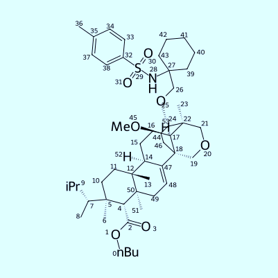 CCCCOC(=O)[C@@H]1[C@@](C)([C@H](C)C(C)C)CC[C@]2(C)[C@H]3CC[C@@H]4[C@@]5(COC[C@]4(C)[C@@H](OCC4(NS(=O)(=O)c6ccc(C)cc6)CCCCC4)[C@H](OC)C5)C3=CC[C@@]12C